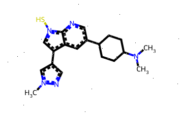 CN(C)C1CCC(c2cnc3c(c2)c(-c2cnn(C)c2)cn3S)CC1